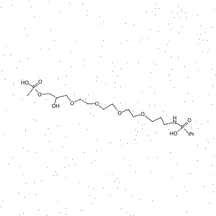 CC(C)P(=O)(O)NCCCOCCOCCOCCOCC(O)COP(C)(=O)O